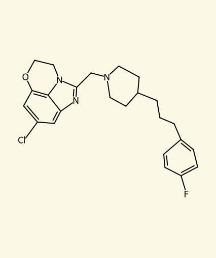 Fc1ccc(CCCC2CCN(Cc3nc4cc(Cl)cc5c4n3CCO5)CC2)cc1